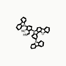 N#Cc1c(-n2c3ccccc3c3ccccc32)ccc(-n2c3ccc(-n4c5ccccc5c5ccccc54)cc3c3c4oc5ccccc5c4ccc32)c1C=N